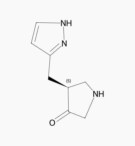 O=C1CNC[C@@H]1Cc1cc[nH]n1